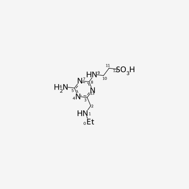 CCNCc1nc(N)nc(NCCS(=O)(=O)O)n1